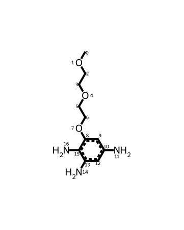 COCCOCCOc1cc(N)cc(N)c1N